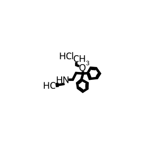 C#CCNCCC(OCC)(c1ccccc1)c1ccccc1.Cl